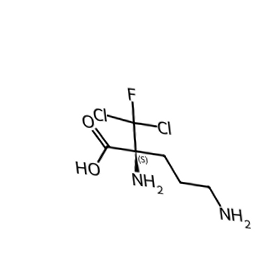 NCCC[C@](N)(C(=O)O)C(F)(Cl)Cl